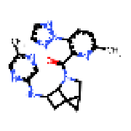 Cc1ccc(-n2nccn2)c(C(=O)N2CC3CC34CC(Nc3cnc(C(F)(F)F)cn3)C24)n1